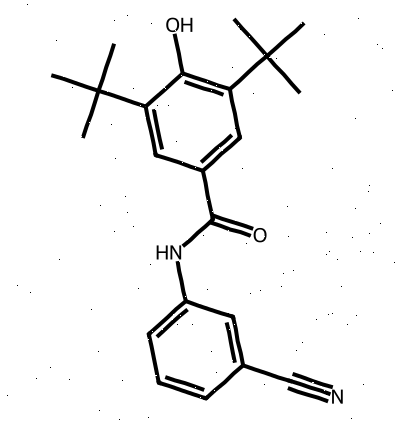 CC(C)(C)c1cc(C(=O)Nc2cccc(C#N)c2)cc(C(C)(C)C)c1O